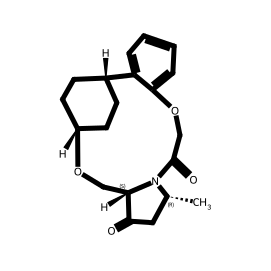 C[C@@H]1CC(=O)[C@@H]2CO[C@H]3CC[C@H](CC3)c3ccccc3OCC(=O)N12